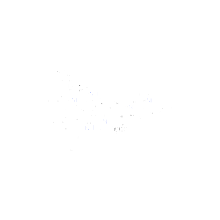 NC(CC(=O)[O-])(CC(=O)[O-])CC(N)(CC(=O)[O-])CC(=O)[O-].NC(CC(=O)[O-])(CC(=O)[O-])CC(N)(CC(=O)[O-])CC(=O)[O-].NC(CC(=O)[O-])(CC(=O)[O-])CC(N)(CC(=O)[O-])CC(=O)[O-].[Fe+3].[Fe+3].[Fe+3].[Fe+3]